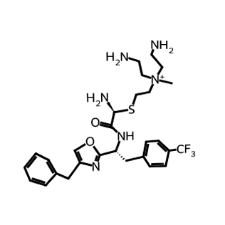 C[N+](CCN)(CCN)CCS[C@H](N)C(=O)N[C@H](Cc1ccc(C(F)(F)F)cc1)c1nc(Cc2ccccc2)co1